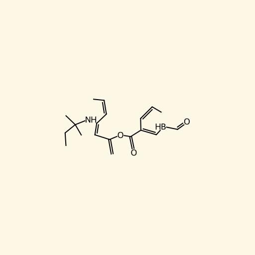 C=C(/C=C(\C=C/C)NC(C)(C)CC)OC(=O)C(/C=C\C)=C/BC=O